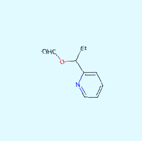 CCC(O[C]=O)c1ccccn1